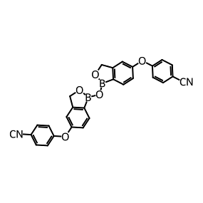 [C-]#[N+]c1ccc(Oc2ccc3c(c2)COB3OB2OCc3cc(Oc4ccc(C#N)cc4)ccc32)cc1